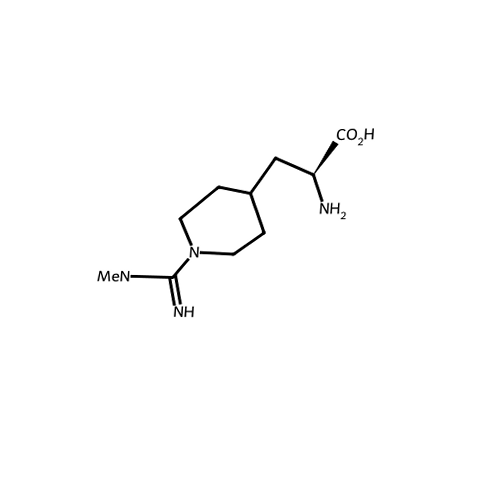 CNC(=N)N1CCC(C[C@H](N)C(=O)O)CC1